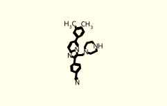 Cc1ccc(-c2ccc3nc(-c4ccc(C#N)cc4)c(CN4CCCNCC4)n3c2)cc1C